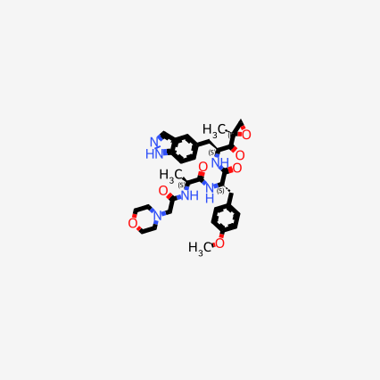 COc1ccc(C[C@H](NC(=O)[C@H](C)NC(=O)CN2CCOCC2)C(=O)N[C@@H](Cc2ccc3[nH]ncc3c2)C(=O)[C@@]2(C)CO2)cc1